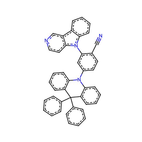 N#Cc1ccc(N2c3ccccc3C(c3ccccc3)(c3ccccc3)c3ccccc32)cc1-n1c2ccccc2c2cnccc21